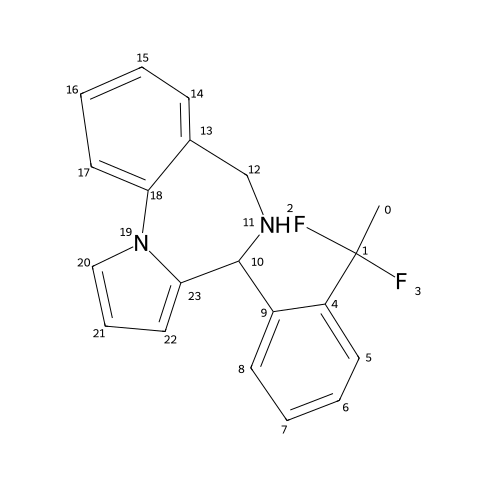 CC(F)(F)c1ccccc1C1NCc2ccccc2-n2cccc21